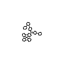 c1ccc(-c2ccc(N(c3ccc(-c4ccccc4-c4ccccc4)cc3)c3ccc4c(c3)-c3ccccc3C43c4ccccc4-c4ccccc43)cc2)cc1